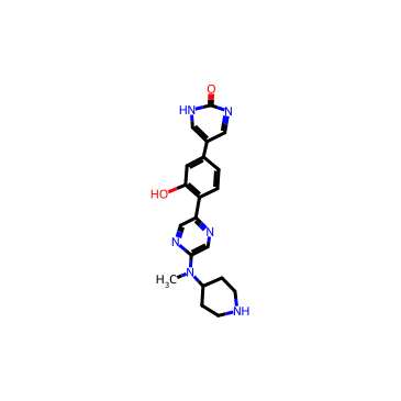 CN(c1cnc(-c2ccc(-c3cnc(=O)[nH]c3)cc2O)cn1)C1CCNCC1